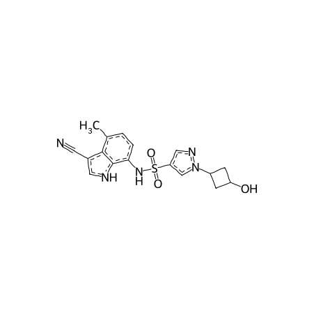 Cc1ccc(NS(=O)(=O)c2cnn(C3CC(O)C3)c2)c2[nH]cc(C#N)c12